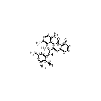 Cc1ccc(C)c(-n2c([C@H](C)Nc3nc(N)nc(N)c3C#N)nc3cccc(Cl)c3c2=O)c1